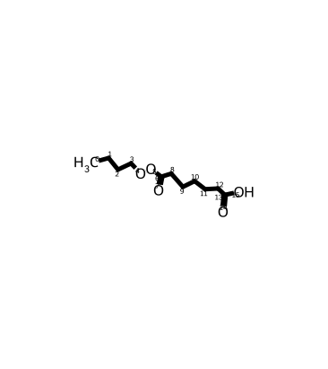 CCCCOOC(=O)CCCCCC(=O)O